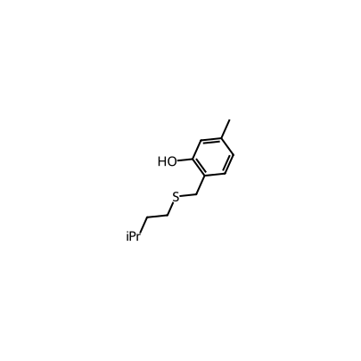 Cc1ccc(CSCCC(C)C)c(O)c1